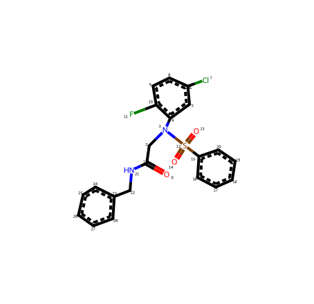 O=C(CN(c1cc(Cl)ccc1F)S(=O)(=O)c1ccccc1)NCc1ccccc1